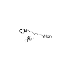 CCCCCCCCCCCCCCCC[n+]1ccccc1.[Cl-].[F-].[Na+]